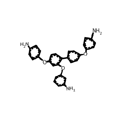 Nc1ccc(Oc2ccc(-c3ccc(Oc4ccc(N)cc4)cc3Oc3cccc(N)c3)cc2)cc1